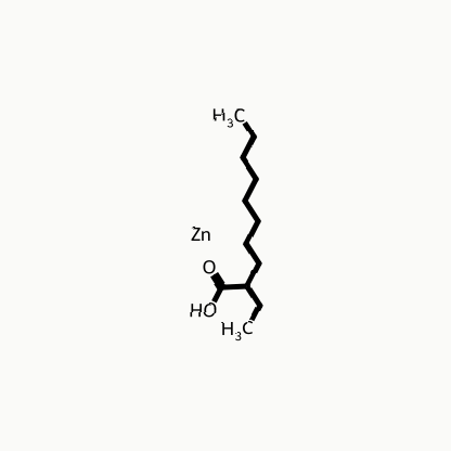 CCCCCCCCC(CC)C(=O)O.[Zn]